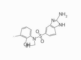 [CH2]c1cccc(N(CC(C)C)S(=O)(=O)c2ccc3[nH]c(N)nc3c2)c1O